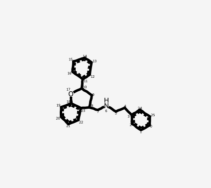 c1ccc(CCNCC2CC(c3ccccc3)Oc3ccccc32)cc1